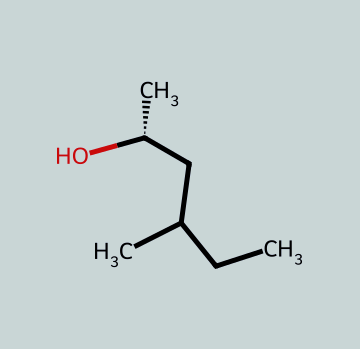 CCC(C)C[C@@H](C)O